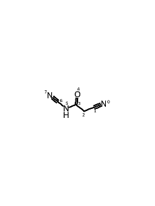 N#CCC(=O)NC#N